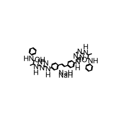 CC(Nc1ncnc(Nc2ccc(C=Cc3ccc(Nc4ncnc(NC(C)C(O)Nc5ccccc5)n4)cc3)cc2)n1)C(O)Nc1ccccc1.[NaH].[NaH]